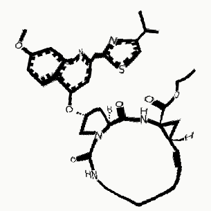 CCOC(=O)[C@@]12C[C@@H]1/C=C\CCCCCNC(=O)N1C[C@H](Oc3cc(-c4nc(C(C)C)cs4)nc4cc(OC)ccc34)C[C@H]1C(=O)N2